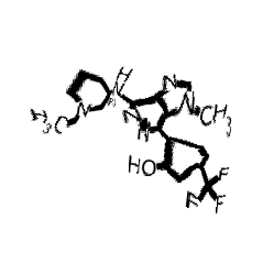 CCN1CCC[C@@H](Nc2nnc(-c3ccc(C(F)(F)F)cc3O)c3c2ncn3C)C1